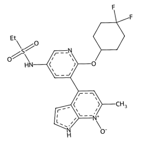 CCS(=O)(=O)Nc1cnc(OC2CCC(F)(F)CC2)c(-c2cc(C)[n+]([O-])c3[nH]ccc23)c1